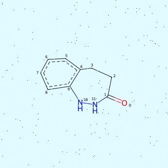 O=C1CCc2ccccc2NN1